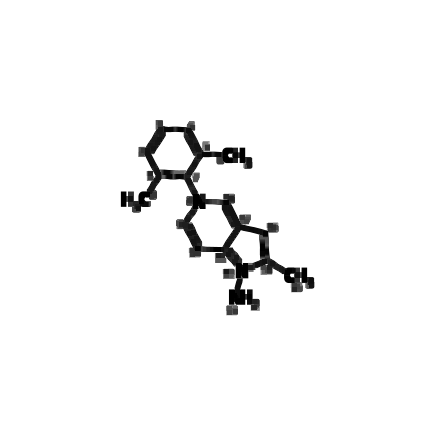 Cc1cccc(C)c1-n1ccc2[n+](N)c(C)cc-2c1